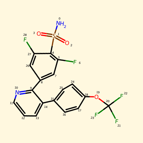 NS(=O)(=O)c1c(F)cc(-c2ncccc2-c2ccc(OC(F)(F)F)cc2)cc1F